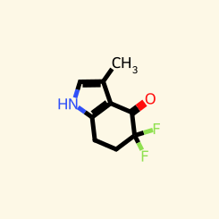 Cc1c[nH]c2c1C(=O)C(F)(F)CC2